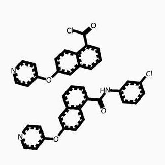 O=C(Cl)c1cccc2cc(Oc3ccncc3)ccc12.O=C(Nc1cccc(Cl)c1)c1cccc2cc(Oc3ccncc3)ccc12